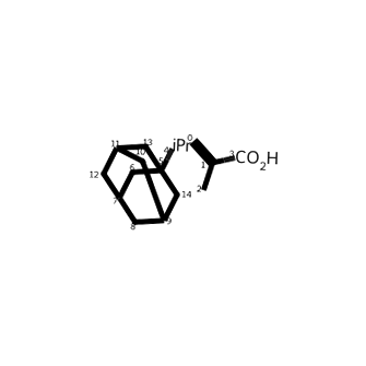 C=C(C)C(=O)O.CC(C)C12CC3CC(CC(C3)C1)C2